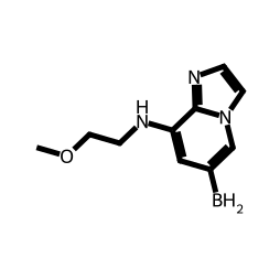 Bc1cc(NCCOC)c2nccn2c1